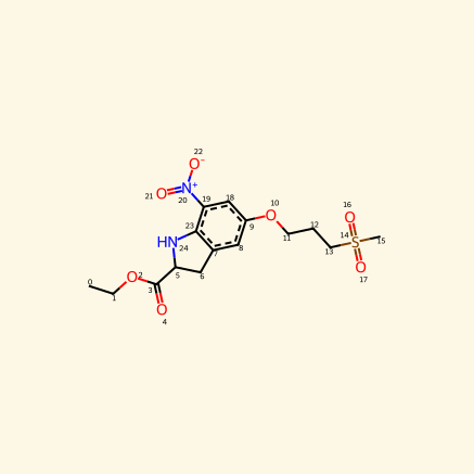 CCOC(=O)C1Cc2cc(OCCCS(C)(=O)=O)cc([N+](=O)[O-])c2N1